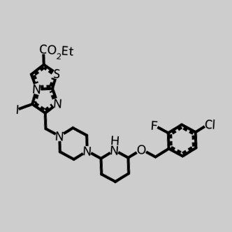 CCOC(=O)c1cn2c(I)c(CN3CCN(C4CCCC(OCc5ccc(Cl)cc5F)N4)CC3)nc2s1